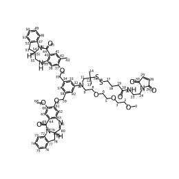 COCCOCCOCCN(CC(C)(C)SSCCCC(=O)NCCN1C(=O)C=CC1=O)c1cc(COc2cc3c(cc2C)C(=O)N2c4ccccc4C[C@H]2CN3)cc(COc2cc3c(cc2OC)C(=O)N2c4ccccc4C[C@H]2C=N3)c1